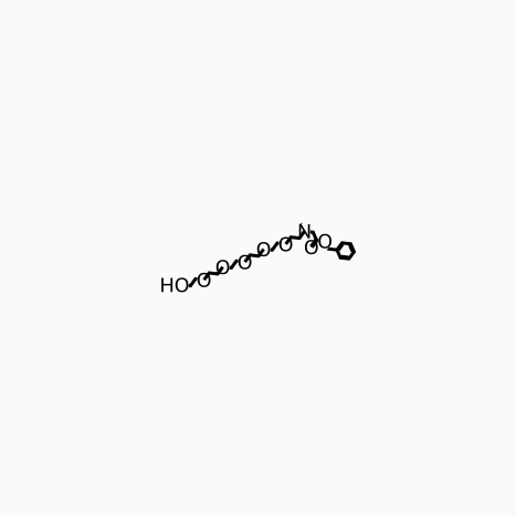 CN(CCOCCOCCOCCOCCOCCO)CC(=O)OCc1ccccc1